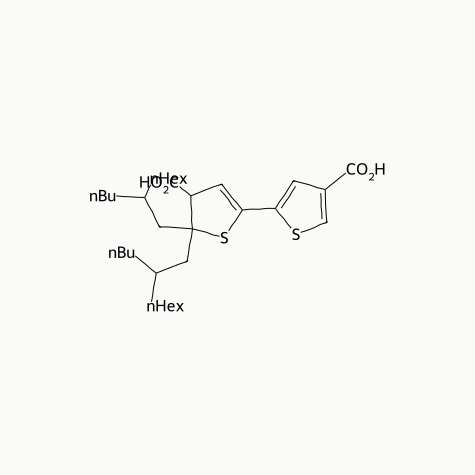 CCCCCCC(CCCC)CC1(CC(CCCC)CCCCCC)SC(c2cc(C(=O)O)cs2)=CC1C(=O)O